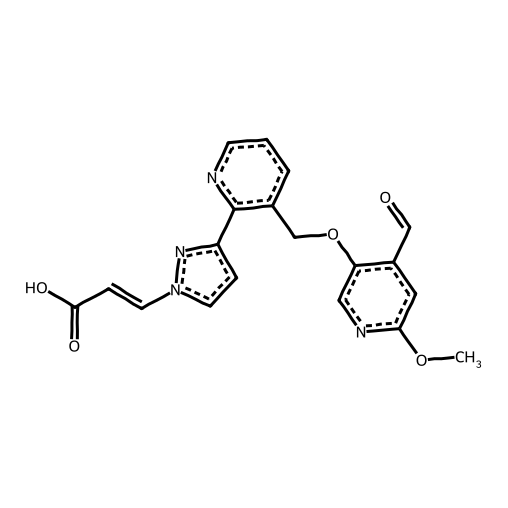 COc1cc(C=O)c(OCc2cccnc2-c2ccn(/C=C/C(=O)O)n2)cn1